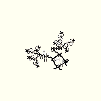 CCC1=C(CC)C2=NC3NC(=C(CC)C3(C)CC)C=C3N=C(C=c4[nH]c(cc4CCC(=O)NNC(=O)CN(CCN(CC(=O)OC(C)(C)C)CC(=O)OC(C)(C)C)CCN(CC(=O)OC(C)(C)C)CC(=O)OC(C)(C)C)=CC1=N2)C(CCC(=O)NNC(=O)CN(CCN(CC(=O)OC(C)(C)C)CC(=O)OC(C)(C)C)CCN(CC(=O)OC(C)(C)C)CC(=O)OC(C)(C)C)=C3C